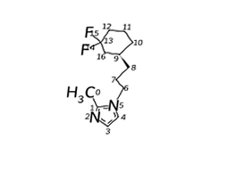 Cc1nccn1CCC[C@@H]1CCCC(F)(F)C1